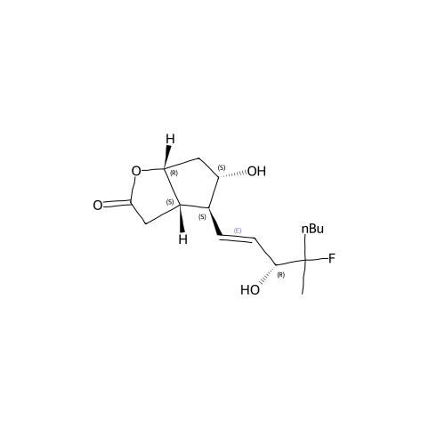 CCCCC(C)(F)[C@H](O)/C=C/[C@H]1[C@@H]2CC(=O)O[C@@H]2C[C@@H]1O